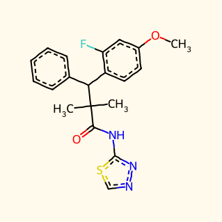 COc1ccc(C(c2ccccc2)C(C)(C)C(=O)Nc2nncs2)c(F)c1